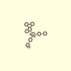 c1ccc(-c2ccc(-c3cc(-c4cc5c6ccccc6c6ccccc6c5c5ccccc45)nc(-c4ccc(-c5cccnc5)cc4)n3)cc2)cc1